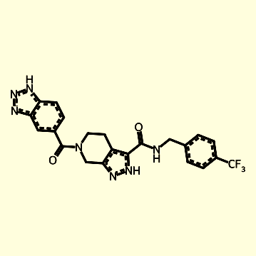 O=C(NCc1ccc(C(F)(F)F)cc1)c1[nH]nc2c1CCN(C(=O)c1ccc3[nH]nnc3c1)C2